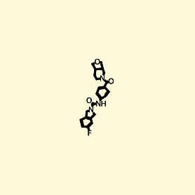 O=C(Nc1ccc(C(=O)N2CCC3COCC3C2)cc1)N1Cc2ccc(F)cc2C1